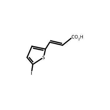 O=C(O)/C=C/c1ccc(I)s1